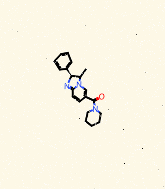 CC1[C@H](c2ccccc2)N=C2C=CC(C(=O)N3CCCCC3)=CN21